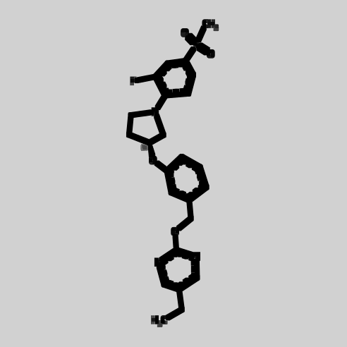 CCc1cnc(OCc2cccc(O[C@H]3CCN(c4ccc(S(C)(=O)=O)cc4F)C3)c2)nc1